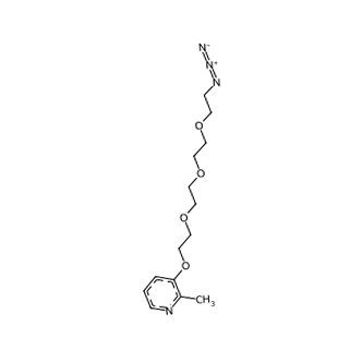 Cc1ncccc1OCCOCCOCCOCCN=[N+]=[N-]